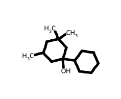 CC1CC(C)(C)CC(O)(C2CCCCC2)C1